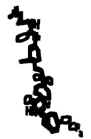 Cc1cc(N(C)C(=O)NCCN(C)C)ccc1C=CS(=O)(=O)N1CCC2(CC1)N=C(c1cccc(OC(F)(F)F)c1)NC2=O